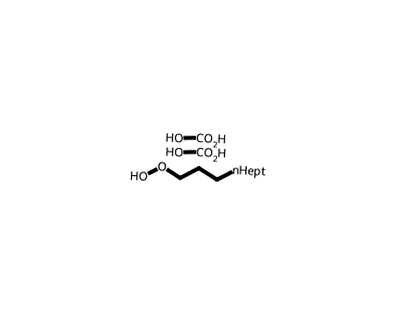 CCCCCCCCCCOO.O=C(O)O.O=C(O)O